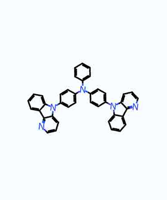 c1ccc(N(c2ccc(-n3c4ccccc4c4ncccc43)cc2)c2ccc(-n3c4ccccc4c4ncccc43)cc2)cc1